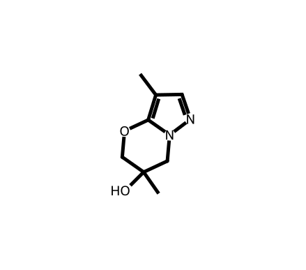 Cc1cnn2c1OCC(C)(O)C2